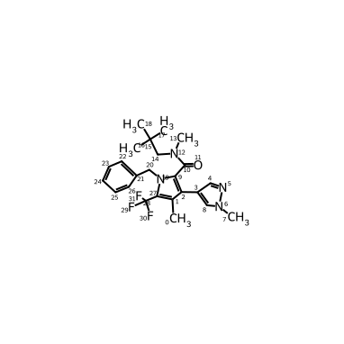 Cc1c(-c2cnn(C)c2)c(C(=O)N(C)CC(C)(C)C)n(Cc2ccccc2)c1C(F)(F)F